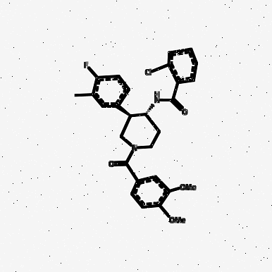 COc1ccc(C(=O)N2CC[C@@H](NC(=O)c3ccccc3Cl)[C@H](c3ccc(F)c(C)c3)C2)cc1OC